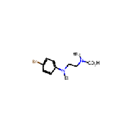 CCN(CCN(C(=O)O)C(C)(C)C)c1ccc(Br)cc1